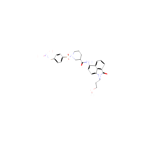 COCCCN1C(=O)c2cccc3c(NC(=O)C4CCCN(S(=O)(=O)c5ccc(SN(O)O)cc5)C4)ccc1c23